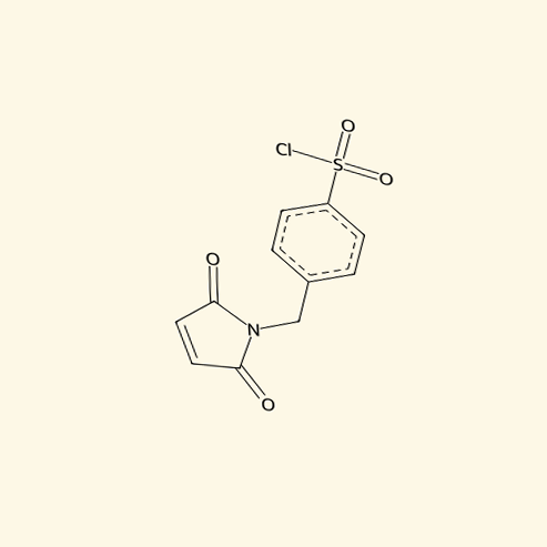 O=C1C=CC(=O)N1Cc1ccc(S(=O)(=O)Cl)cc1